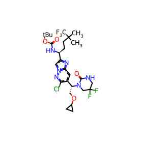 CC(C)(C)OC(=O)N[C@@H](CCC(C)(C)C(F)(F)F)c1cn2nc(Cl)c([C@@H](COC3CC3)N3CC(F)(F)CNC3=O)cc2n1